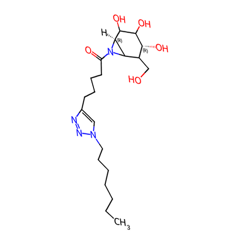 CCCCCCCn1cc(CCCCC(=O)N2C3C(CO)[C@@H](O)C(O)C(O)[C@@H]32)nn1